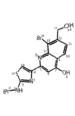 CC(C)Nc1nc(-c2cc(O)c3ccc(CO)c(Br)c3n2)cs1